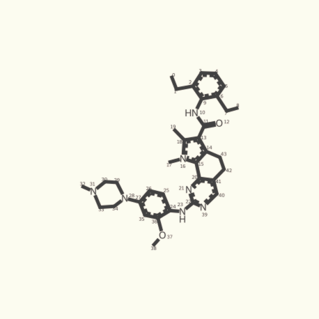 CCc1cccc(CC)c1NC(=O)c1c2c(n(C)c1C)-c1nc(Nc3ccc(N4CCN(C)CC4)cc3OC)ncc1CC2